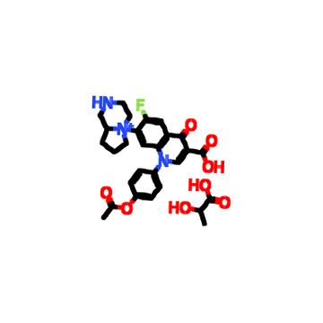 CC(=O)Oc1ccc(-n2cc(C(=O)O)c(=O)c3cc(F)c([N+]45CCCC4CNCC5)cc32)cc1.CC(O)C(=O)O